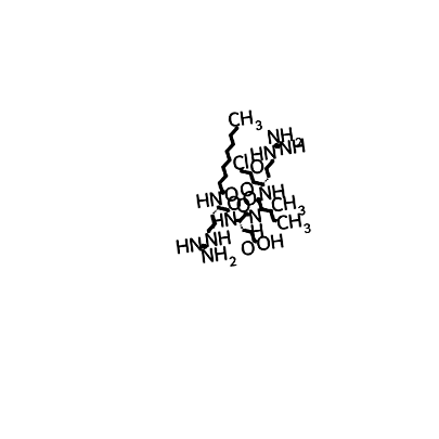 CCCCCCCCCC(=O)N[C@@H](CCCNC(=N)N)C(=O)N[C@@H](CCC(=O)O)C(=O)N[C@H](C(=O)N[C@@H](CCCNC(=N)N)C(=O)C(=O)CCl)[C@@H](C)CC